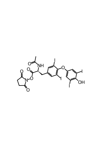 CC(=O)N[C@@H](Cc1cc(I)c(Oc2cc(I)c(O)c(I)c2)c(I)c1)C(=O)ON1C(=O)CCC1=O